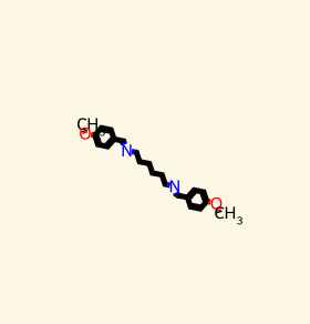 COc1ccc(C=NCCCCCCN=Cc2ccc(OC)cc2)cc1